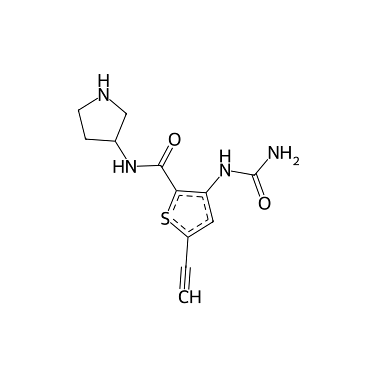 C#Cc1cc(NC(N)=O)c(C(=O)NC2CCNC2)s1